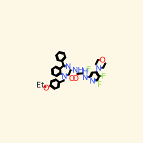 CCOc1ccc(CN2C(=O)[C@@H](NC(=O)CNc3nc(F)c(F)c(N4CCOCC4)c3F)N=C(c3ccccc3)c3ccccc32)cc1